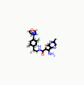 Cc1cnc2c(N)c(C(=O)NC[C@H](C)c3cc(F)c(N4CC5CNCC4CO5)cc3F)sc2n1